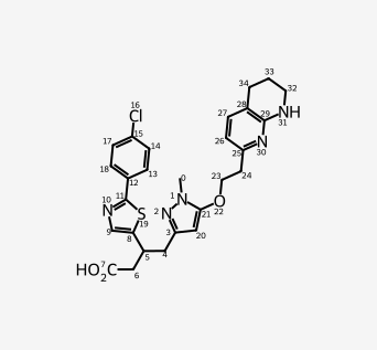 Cn1nc(CC(CC(=O)O)c2cnc(-c3ccc(Cl)cc3)s2)cc1OCCc1ccc2c(n1)NCCC2